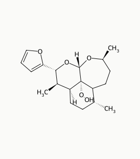 C[C@H]1[C@H](c2ccco2)O[C@@H]2O[C@@H](C)CCC3[C@H](C)CC[C@@H]1[C@]32OO